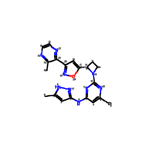 CCc1cc(Nc2cc(C)[nH]n2)nc(N2CC[C@H]2c2cc(-c3nccnc3C)no2)n1